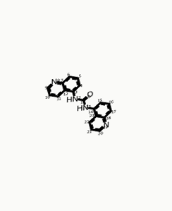 O=C(Nc1cccc2ncccc12)Nc1cccc2ncccc12